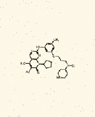 CCN(CCCOc1cc(C)cc(Nc2ncc3c(C)c(C(C)=O)c(=O)n(C4CCCC4)c3n2)c1)C1CCNCC1